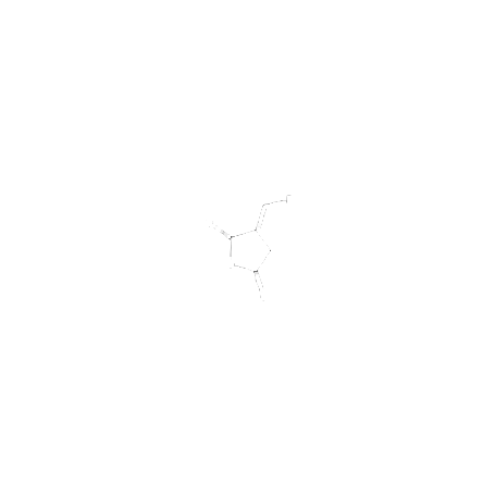 O=C1CC(=CF)C(=O)O1